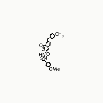 COc1ccc(-c2csc(NC(=O)C=CC3C=CC(Cc4ccc(C)cc4)=CC3=S(=O)=O)n2)cc1